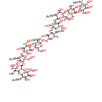 CC(=O)NC1[C@H](O[C@@H]2C(O)[C@H](O[C@@H]3C(CO)O[C@@H](O[C@@H]4C(O)[C@H](O[C@@H]5C(CO)O[C@@H](OCC6OC(C)C(NC(C)=O)[C@@H](O[C@@H]7OC(CO)[C@H](O)[C@H](O[C@@H]8OC(CO)[C@@H](O[C@@H]9OC(CO)[C@H](O)[C@H](O[C@@H]%10OC(CO)[C@@H](O)[C@H](O)C%10NC(C)=O)C9O)[C@H](O)C8NC(C)=O)C7O)[C@H]6O)C(NC(C)=O)[C@H]5O)OC(CO)[C@@H]4O)C(NC(C)=O)[C@H]3O)OC(CO)[C@@H]2O)OC(CO)[C@@H](O)[C@@H]1O